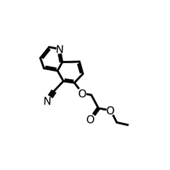 CCOC(=O)COc1ccc2ncccc2c1C#N